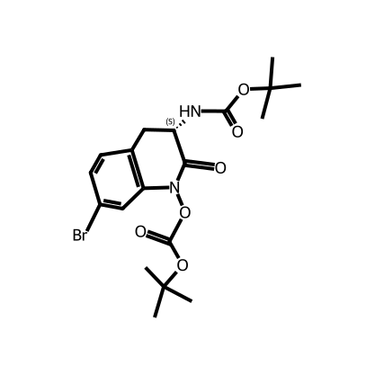 CC(C)(C)OC(=O)N[C@H]1Cc2ccc(Br)cc2N(OC(=O)OC(C)(C)C)C1=O